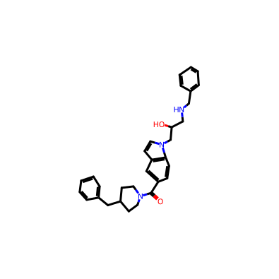 O=C(c1ccc2c(ccn2CC(O)CNCc2ccccc2)c1)N1CCC(Cc2ccccc2)CC1